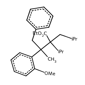 CCOC(=O)C(CC(C)C)(C(C)C)C(C)(Cc1ccccc1)c1ccccc1OC